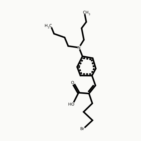 CCCCN(CCCC)c1ccc(C=C(CCCBr)C(=O)O)cc1